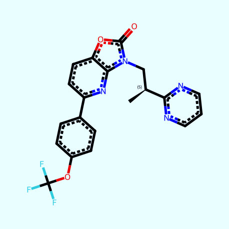 C[C@@H](Cn1c(=O)oc2ccc(-c3ccc(OC(F)(F)F)cc3)nc21)c1ncccn1